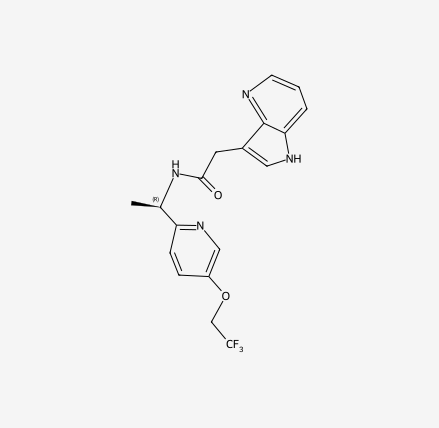 C[C@@H](NC(=O)Cc1c[nH]c2cccnc12)c1ccc(OCC(F)(F)F)cn1